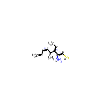 C=C/C=C\C(C)C(=C\C)/C(N)=C/S